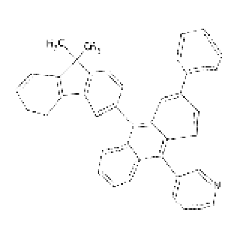 CC1(C)C2=C(CCC=C2)c2cc(-c3c4ccccc4c(-c4cccnc4)c4ccc(-c5ccccc5)cc34)ccc21